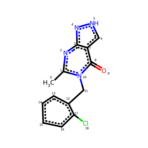 Cc1nc2n[nH]cc2c(=O)n1Cc1ccccc1Cl